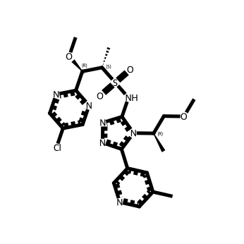 COC[C@@H](C)n1c(NS(=O)(=O)[C@@H](C)[C@H](OC)c2ncc(Cl)cn2)nnc1-c1cncc(C)c1